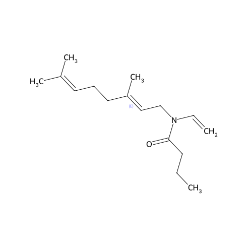 C=CN(C/C=C(\C)CCC=C(C)C)C(=O)CCC